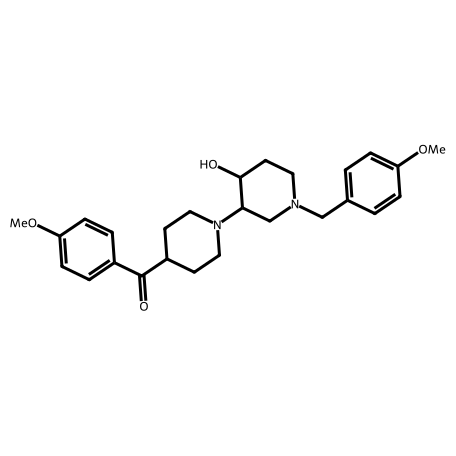 COc1ccc(CN2CCC(O)C(N3CCC(C(=O)c4ccc(OC)cc4)CC3)C2)cc1